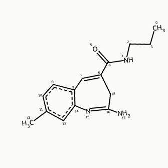 CCCNC(=O)C1=Cc2ccc(C)cc2N=C(N)C1